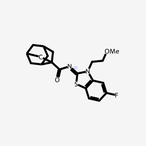 COCCn1/c(=N/C(=O)C23CC4CC(CC2C4)C3)sc2ccc(F)cc21